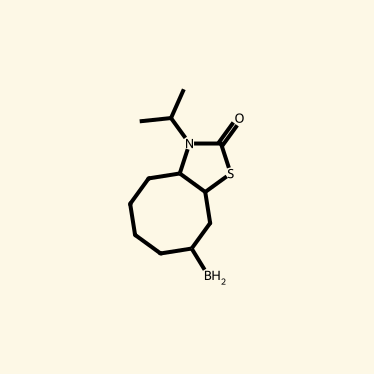 BC1CCCCC2C(C1)SC(=O)N2C(C)C